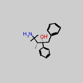 C[C@H](C(C)(C)N)[C@@](O)(Cc1ccccc1)c1ccccc1